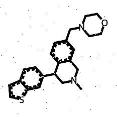 CN1Cc2cc(CN3CCOCC3)ccc2C(c2ccc3ccsc3c2)C1